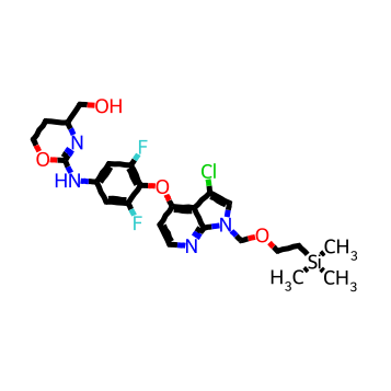 C[Si](C)(C)CCOCn1cc(Cl)c2c(Oc3c(F)cc(NC4=NC(CO)CCO4)cc3F)ccnc21